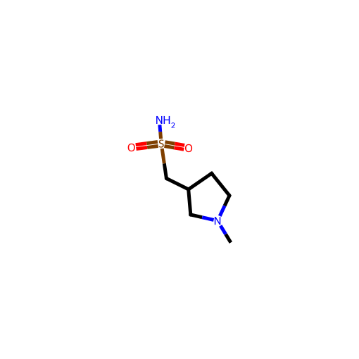 CN1CCC(CS(N)(=O)=O)C1